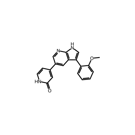 COc1ccccc1-c1c[nH]c2ncc(-c3cc[nH]c(=O)c3)cc12